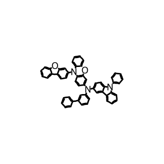 c1ccc(-c2cccc(N(c3ccc4c(c3)Oc3ccccc3N4c3ccc4c(c3)oc3ccccc34)c3ccc4c(c3)c3ccccc3n4-c3ccccc3)c2)cc1